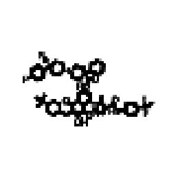 CC(C)(C)C1CCC(CC2=C(O)C(=O)c3ccccc3C2=O)CC1.C[C@@H]1CN([C@H]2CC[C@](C#N)(c3ccc(F)cc3)CC2)CC[C@]1(C(=O)O)c1ccccc1.Cc1oncc1C(=O)Nc1ccc(C(F)(F)F)cc1